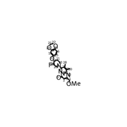 COCc1cc(=O)n2nc(N3CC[C@@H](Oc4ccc5c(c4)OCCO5)[C@@H](F)C3)c(C)c(C)c2n1